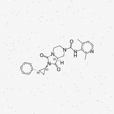 Cc1ccnc(C)c1NC(=O)N1CCN2C(=O)N([C@H]3C[C@@H]3c3ccccc3)C(=O)[C@@H]2C1